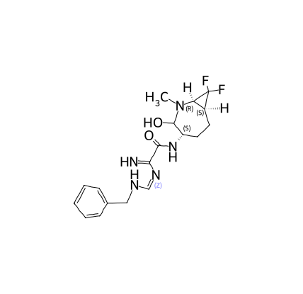 CN1C(O)[C@@H](NC(=O)C(=N)/N=C\NCc2ccccc2)CC[C@H]2[C@@H]1C2(F)F